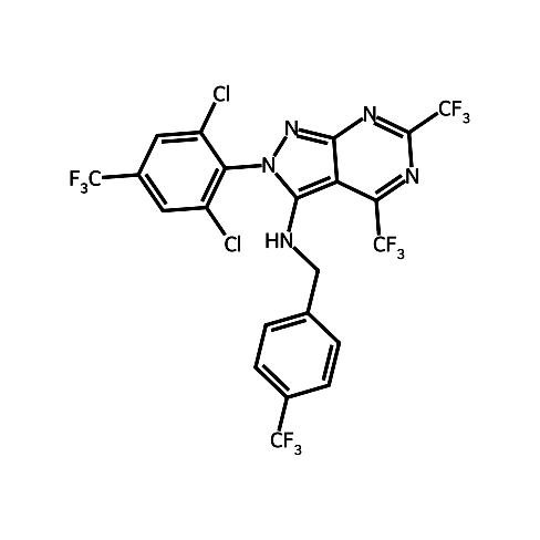 FC(F)(F)c1ccc(CNc2c3c(C(F)(F)F)nc(C(F)(F)F)nc3nn2-c2c(Cl)cc(C(F)(F)F)cc2Cl)cc1